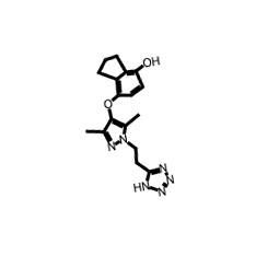 Cc1nn(CCc2nnn[nH]2)c(C)c1Oc1ccc(O)c2c1CCC2